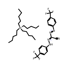 CCCCC[N+](CCCCC)(CCCCC)CCCCC.N#CC(/N=N/c1ccc(C(F)(F)F)cc1)=N\Nc1ccc(C(F)(F)F)cc1